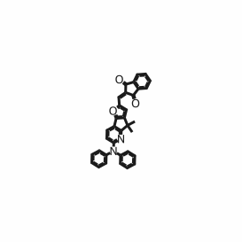 CC1(C)c2cc(C=C3C(=O)c4ccccc4C3=O)oc2-c2ccc(N(c3ccccc3)c3ccccc3)nc21